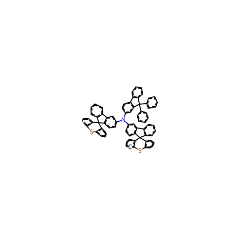 c1ccc(C2(c3ccccc3)c3ccccc3-c3ccc(N(c4ccc5c(c4)-c4ccccc4C54c5ccccc5Sc5ccccc54)c4ccc5c(c4)-c4ccccc4C54c5ccccc5Sc5ccccc54)cc32)cc1